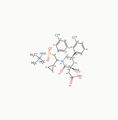 CC(C)(C)NS(=O)(=O)CC(C1CC1)N1C(=O)[C@@](C)(CC(=O)O)C[C@H](c2cccc(Cl)c2)[C@H]1c1ccc(Cl)cc1